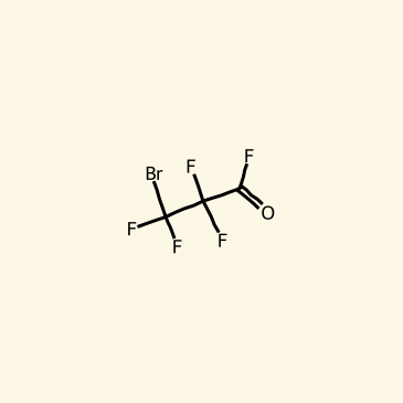 O=C(F)C(F)(F)C(F)(F)Br